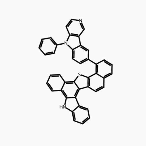 c1ccc(-n2c3ccncc3c3cc(-c4cccc5ccc6c(sc7c8ccccc8c8[nH]c9ccccc9c8c67)c45)ccc32)cc1